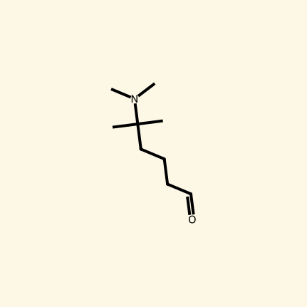 CN(C)C(C)(C)CCCC=O